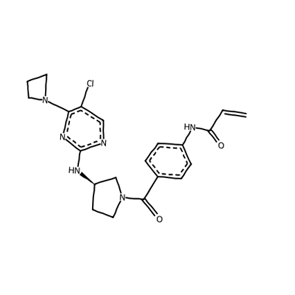 C=CC(=O)Nc1ccc(C(=O)N2CC[C@@H](Nc3ncc(Cl)c(N4CCC4)n3)C2)cc1